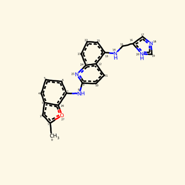 Cc1cc2cccc(Nc3ccc4c(NCc5cnc[nH]5)cccc4n3)c2o1